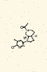 CC(=O)N1CC[C@H]2CCN(c3cc(C)c(Cl)nn3)[C@H]2C1